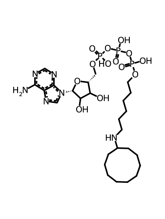 Nc1ncnc2c1ncn2[C@@H]1O[C@H](COP(=O)(O)OP(=O)(O)OP(=O)(O)OCCCCCCNC2CCCCCCCCC2)C(O)C1O